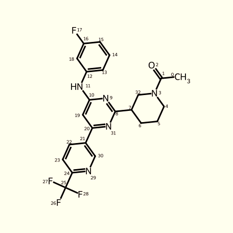 CC(=O)N1CCCC(c2nc(Nc3cccc(F)c3)cc(-c3ccc(C(F)(F)F)nc3)n2)C1